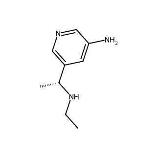 CCN[C@H](C)c1cncc(N)c1